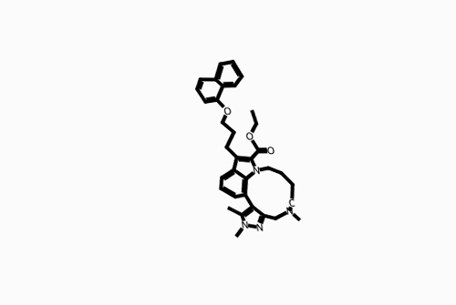 CCOC(=O)c1c(CCCOc2cccc3ccccc23)c2cccc3c2n1CCCCN(C)Cc1nn(C)c(C)c1-3